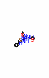 CCOc1nc(NCc2ccco2)nc(Nc2nc(-c3ccccc3)cs2)n1